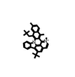 Cc1ccc2c(C)c3c(c(CC(C)(C)C)c2c1)n1c2ccccc2c2c(C(C)(C)C)cc4cc[n+](C)c3c4c21